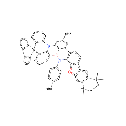 CC(C)(C)c1ccc(N2B3c4cccc5c4N(c4ccccc4C54c5ccccc5-c5ccccc54)c4cc(C(C)(C)C)cc(c43)-c3ccc4c(oc5cc6c(cc54)C(C)(C)CCC6(C)C)c32)cc1